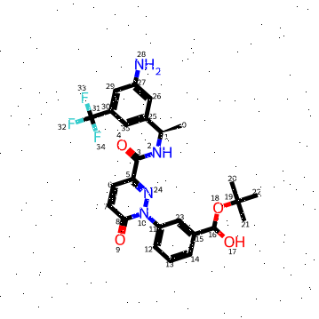 C[C@@H](NC(=O)c1ccc(=O)n(-c2cccc(C(O)OC(C)(C)C)c2)n1)c1cc(N)cc(C(F)(F)F)c1